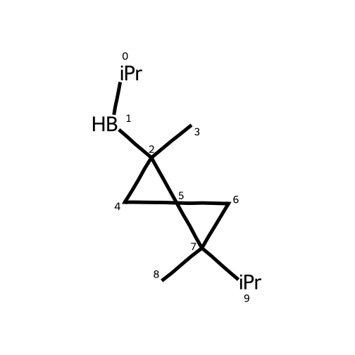 CC(C)BC1(C)CC12CC2(C)C(C)C